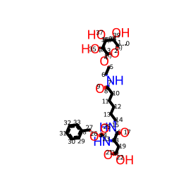 C[C@@H]1O[C@@H](OCCNC(=O)CCCCCNC(=O)C(CC(=O)O)NC(=O)OCc2ccccc2)[C@@H](O)[C@H](O)[C@@H]1O